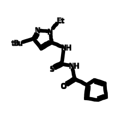 CCn1nc(C(C)(C)C)cc1NC(=S)NC(=O)c1ccccc1